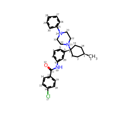 C[C@H]1CC[C@](c2cccc(NC(=O)c3ccc(Cl)cc3)c2)(N2CCN(c3ccccc3)CC2)CC1